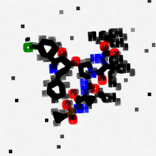 C=C[C@@H]1C[C@]1(NC(=O)[C@@H]1C[C@@H](Oc2cc(-c3ccccc3)nc3c2oc2ccc(Cl)cc23)CN1C(=O)[C@@H](NC(=O)OC(C)(C)C)C(C)(C)C)C(=O)NS(=O)(=O)C1CC1